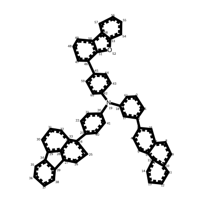 c1cc(-c2ccc3c(ccc4ccccc43)c2)cc(N(c2ccc(-c3ccc4c5c(cccc35)-c3ccccc3-4)cc2)c2ccc(-c3cccc4c3oc3ccccc34)cc2)c1